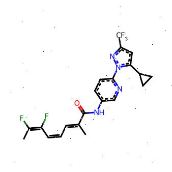 C\C(F)=C(F)/C=C\C=C(/C)C(=O)Nc1ccc(-n2nc(C(F)(F)F)cc2C2CC2)nc1